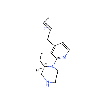 C/C=C/Cc1ccnc2c1CC[C@@H]1CNCCN21